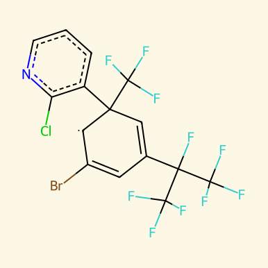 FC(F)(F)C1(c2cccnc2Cl)[CH]C(Br)=CC(C(F)(C(F)(F)F)C(F)(F)F)=C1